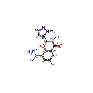 Cc1cc([C@@H](C)N)c2oc(-c3ccnn3C)c(C)c(=O)c2c1